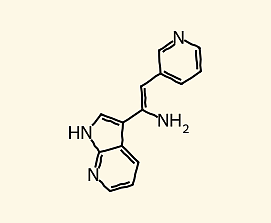 N/C(=C\c1cccnc1)c1c[nH]c2ncccc12